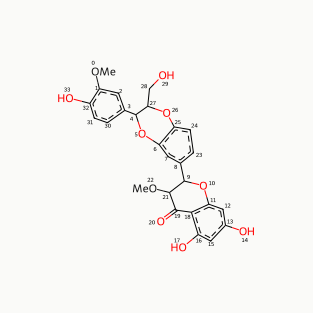 COc1cc(C2Oc3cc(C4Oc5cc(O)cc(O)c5C(=O)C4OC)ccc3OC2CO)ccc1O